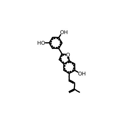 C=C(C)/C=C/c1cc2cc(-c3cc(O)cc(O)c3)oc2cc1O